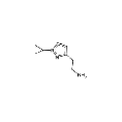 NCCc1ccn([C]2CC2)n1